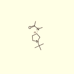 CC(=O)N(C)[C@H]1CCN(C(C)(C)C)C1